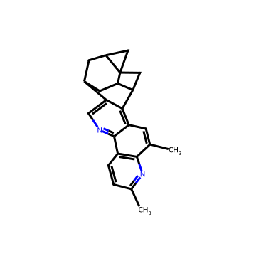 Cc1ccc2c(n1)c(C)cc1c3c(cnc12)C1CC2CC24CC3C4C1